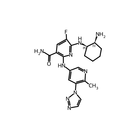 Cc1ncc(Nc2nc(N[C@@H]3CCCC[C@@H]3N)c(F)cc2C(N)=O)cc1-n1ccnn1